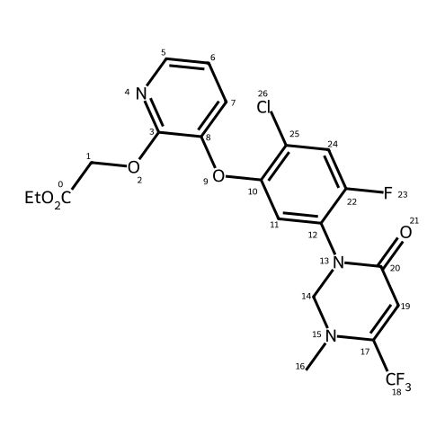 CCOC(=O)COc1ncccc1Oc1cc(N2CN(C)C(C(F)(F)F)=CC2=O)c(F)cc1Cl